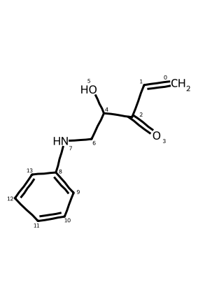 C=CC(=O)C(O)CNc1ccccc1